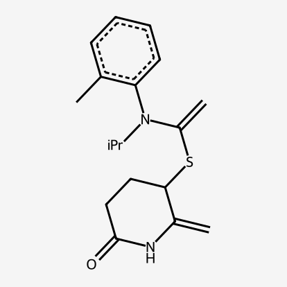 C=C1NC(=O)CCC1SC(=C)N(c1ccccc1C)C(C)C